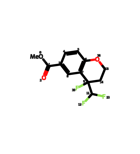 COC(=O)c1ccc2c(c1)C(F)(C(F)F)CCO2